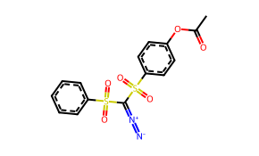 CC(=O)Oc1ccc(S(=O)(=O)C(=[N+]=[N-])S(=O)(=O)c2ccccc2)cc1